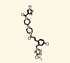 Cc1nnn(Cc2cc(Cl)ccc2/C=C/C(=O)N2CCN(C3CCN(C(=O)c4c[nH]nn4)CC3)CC2)n1